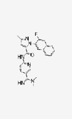 Cc1cc(C(=O)Nc2ccc(C(=N)N(C)C)cn2)n(-c2cc3ccccc3cc2F)n1